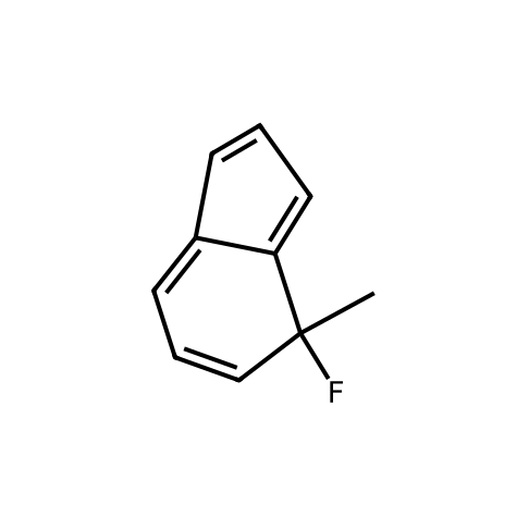 CC1(F)C=CC=C2C=CC=C21